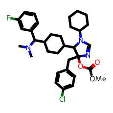 COC(=O)OC1(Cc2ccc(Cl)cc2)N=CN(C2CCCCC2)C1C1CCC(C(c2cccc(F)c2)N(C)C)CC1